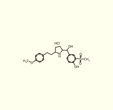 COc1ccc(CCC2CCC(C(O)c3ccc(O)c(S(C)(=O)=O)c3)N2)cc1.Cl